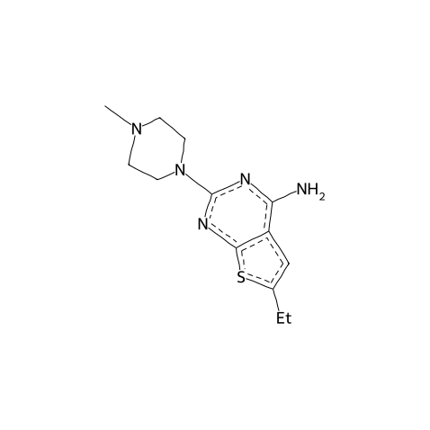 CCc1cc2c(N)nc(N3CCN(C)CC3)nc2s1